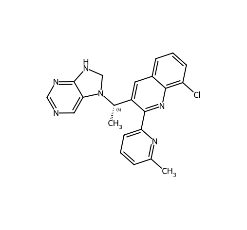 Cc1cccc(-c2nc3c(Cl)cccc3cc2[C@H](C)N2CNc3ncncc32)n1